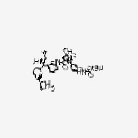 Cc1cccc(C(NCC2CC2)c2cccc(NC(=O)c3cc(C)nn3-c3cccc(CNC(=O)OC(C)(C)C)c3)c2)c1